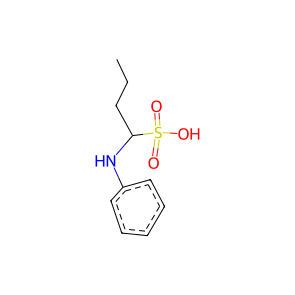 CCCC(Nc1ccccc1)S(=O)(=O)O